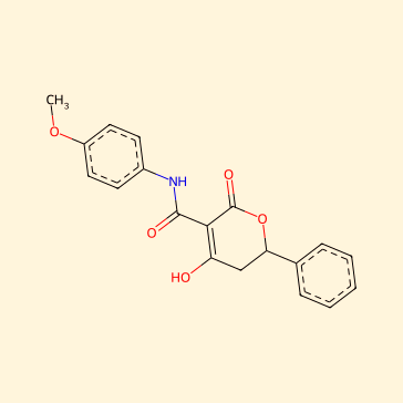 COc1ccc(NC(=O)C2=C(O)CC(c3ccccc3)OC2=O)cc1